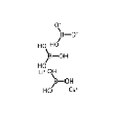 OB(O)O.OB(O)O.[Cs+].[Li+].[O-]B([O-])O